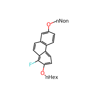 CCCCCCCCCOc1ccc2c(ccc3c(F)c(OCCCCCC)ccc32)c1